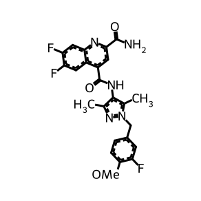 COc1ccc(Cn2nc(C)c(NC(=O)c3cc(C(N)=O)nc4cc(F)c(F)cc34)c2C)cc1F